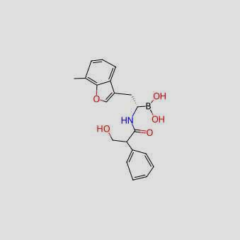 Cc1cccc2c(C[C@@H](NC(=O)C(CO)c3ccccc3)B(O)O)coc12